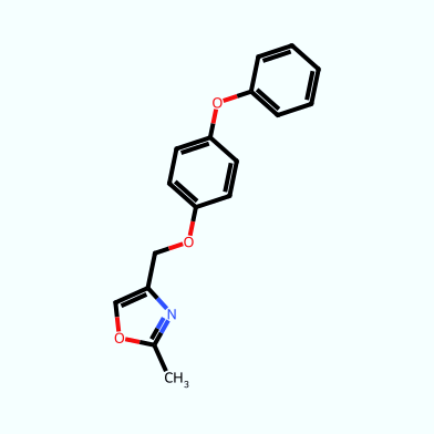 Cc1nc(COc2ccc(Oc3ccccc3)cc2)co1